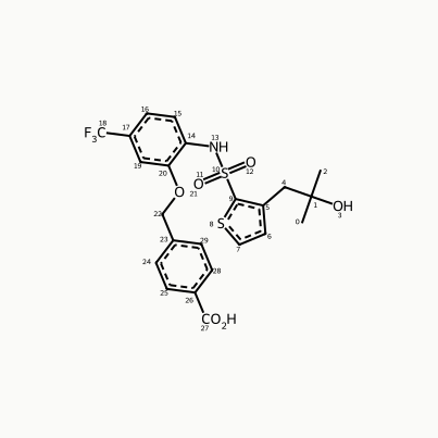 CC(C)(O)Cc1ccsc1S(=O)(=O)Nc1ccc(C(F)(F)F)cc1OCc1ccc(C(=O)O)cc1